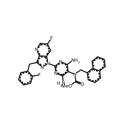 COC(=O)N(Cc1cccc2ccccc12)c1c(N)nc(-n2nc(Cc3ccccc3F)c3ncc(F)cc32)nc1N